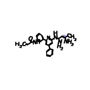 C=CC(=O)Nc1cccc(-c2cc(-c3ccccc3)cc(NC(N)/C=C(/C)N)n2)c1